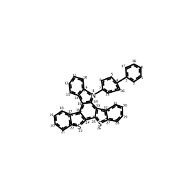 c1ccc(-c2ccc(-n3c4ccccc4c4c5c6ccccc6sc5c5sc6ccccc6c5c43)cc2)cc1